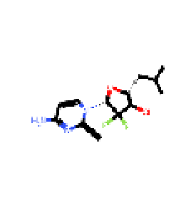 C=C1N=C(N)C=CN1[C@@H]1O[C@H](CC(C)C)C(O)C1(F)F